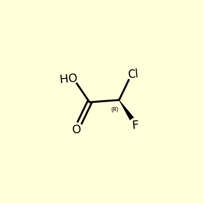 O=C(O)[C@H](F)Cl